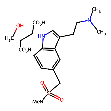 CNS(=O)(=O)Cc1ccc2[nH]cc(CCN(C)C)c2c1.CO.O=C(O)CCC(=O)O